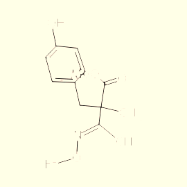 CCON=C(C)C(C)(Cc1ccc(O)cc1)C(=O)OC